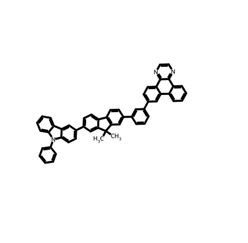 CC1(C)c2cc(-c3cccc(-c4ccc5c(c4)c4ccccc4c4nccnc54)c3)ccc2-c2ccc(-c3ccc4c(c3)c3ccccc3n4-c3ccccc3)cc21